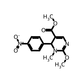 COC(=O)C1=CN=C(OC)N(C)C1c1ccc([N+](=O)[O-])cc1